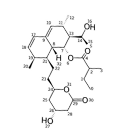 CCC(C)C(=O)O[C@@H]1[C@H]2C(=C[C@H](C)[C@H]1[C@H](C)O)C=C[C@H](C)[C@@H]2CC[C@@H]1C[C@@H](O)CC(=O)O1